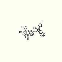 C=CC[C@]1(C(=O)O)OC(OC(=O)CCc2c(C(C)C)n(-c3ccc(F)cc3)c3cc4cn[nH]c4cc23)[C@H](O)[C@@H](O)[C@@H]1O